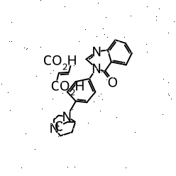 O=C(O)/C=C/C(=O)O.O=c1c2ccccc2ncn1-c1ccc(N2CCN3CCC2CC3)cc1